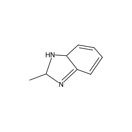 CC1N=C2C=CC=CC2N1